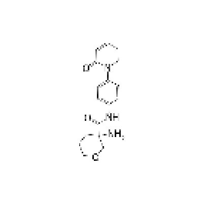 NC1(C(=O)Nc2ccc(-n3ccccc3=O)cc2)CCCOC1